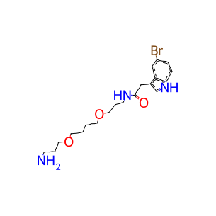 NCCCOCCCCOCCCNC(=O)Cc1c[nH]c2ccc(Br)cc12